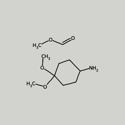 COC1(OC)CCC(N)CC1.COC=O